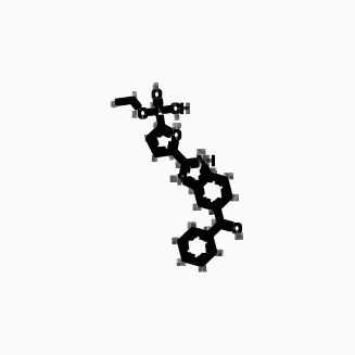 CCOP(=O)(O)c1ccc(-c2nc3cc(C(=O)c4ccccc4)ccc3[nH]2)o1